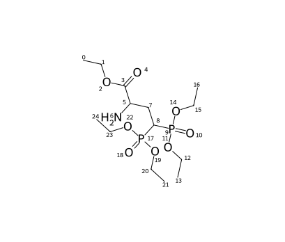 CCOC(=O)C(N)CC(P(=O)(OCC)OCC)P(=O)(OCC)OCC